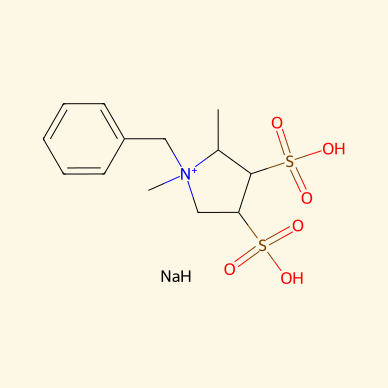 CC1C(S(=O)(=O)O)C(S(=O)(=O)O)C[N+]1(C)Cc1ccccc1.[NaH]